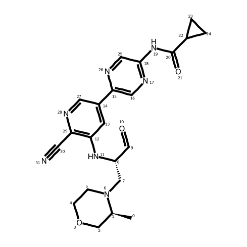 C[C@H]1COCCN1C[C@@H](C=O)Nc1cc(-c2cnc(NC(=O)C3CC3)cn2)cnc1C#N